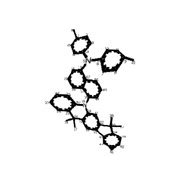 Cc1ccc(N(c2ccc(C)cc2)c2cccc3c(N4c5ccccc5C(C)(C)c5cc6c(cc54)C(C)(C)c4ccccc4-6)cccc23)cc1